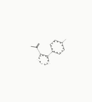 O=C(O)c1nsnc1-c1ccc(F)cc1